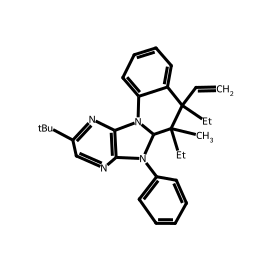 C=CC1(CC)c2ccccc2N2c3nc(C(C)(C)C)cnc3N(c3ccccc3)C2C1(C)CC